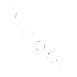 CCC=CCO[C@H]1CC[C@H](c2ccc(C34CCC(CCC)(CC3)CC4)cc2)CC1